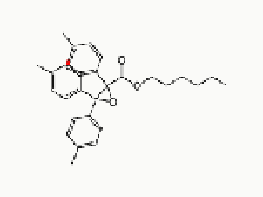 CCCCCCOC(=O)C1(c2ccc(C)cc2)OC1(c1ccc(C)cc1)c1ccc(C)cc1